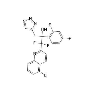 OC(Cn1cnnn1)(c1ccc(F)cc1F)C(F)(F)c1ccc2c(Cl)cccc2n1